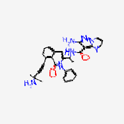 CC(NC(=O)c1c(N)nn2cccnc12)c1cc2cccc(C#CC(C)(C)N)c2c(=O)n1-c1ccccc1